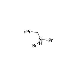 CCCC[SiH](Br)C(C)C